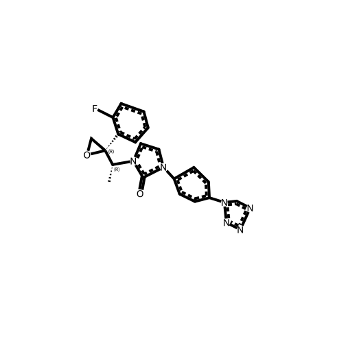 C[C@@H](n1ccn(-c2ccc(-n3cnnn3)cc2)c1=O)[C@]1(c2ccccc2F)CO1